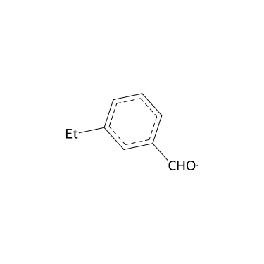 CCc1cccc([C]=O)c1